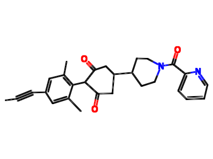 CC#Cc1cc(C)c(C2C(=O)CC(C3CCN(C(=O)c4ccccn4)CC3)CC2=O)c(C)c1